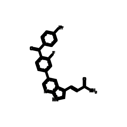 CC(C)c1ccc(C(=O)c2ccc(-c3cnc4[nH]cc(/C=C/C(N)=O)c4c3)cc2F)cc1